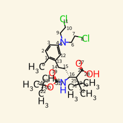 Cc1ccc(N(CCCl)CCCl)cc1CC[C@@H](NC(=O)OC(C)(C)C)C(C(=O)O)C(C)(C)C